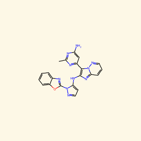 Cc1nc(N)cc(-c2c(Nc3ccnn3-c3nc4ccccc4o3)nc3cccnn23)n1